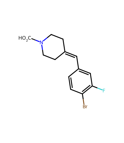 O=C(O)N1CCC(=Cc2ccc(Br)c(F)c2)CC1